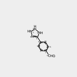 O=Cc1ccc(C2=NNNN2)cc1